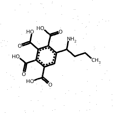 CCCC(N)c1cc(C(=O)O)c(C(=O)O)c(C(=O)O)c1C(=O)O